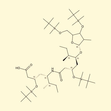 CC[C@H](C)[C@H](C[C@@H](CC(=O)O)O[Si](C)(C)C(C)(C)C)NC(=O)C[C@H](C[C@H](O[C@@H]1OC(CO[Si](C)(C)C(C)(C)C)C(O[Si](C)(C)C(C)(C)C)C1C)[C@@H](C)CC)O[Si](C)(C)C(C)(C)C